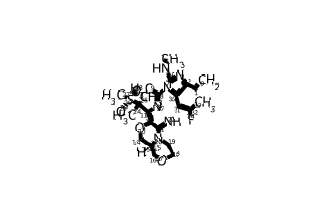 C=Cc1nc(NC)n(/C(C)=N/C(=C2/OC[C@@H]3COCCN3C2=N)C(C)(C)S(C)(=O)=O)c1/C=C(\C)F